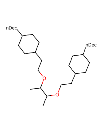 CCCCCCCCCCC1CCC(CCOC(C)C(C)OCCC2CCC(CCCCCCCCCC)CC2)CC1